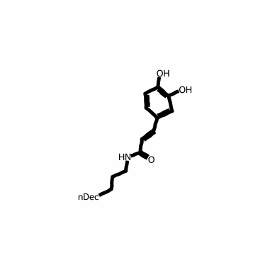 CCCCCCCCCCCCCNC(=O)C=Cc1ccc(O)c(O)c1